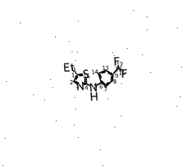 CCc1cnc(Nc2ccc(C(F)F)cc2)s1